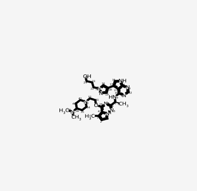 Cc1ccn2nc([C@H](C)Nc3ncnc4[nH]cc(-c5cnn(CCCO)c5)c34)nc(OCCN3CCC(N(C)C)CC3)c12